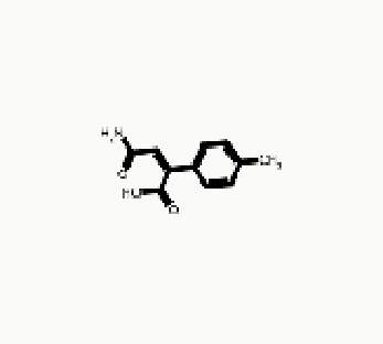 Cc1ccc(C(=CC(N)=O)C(=O)O)cc1